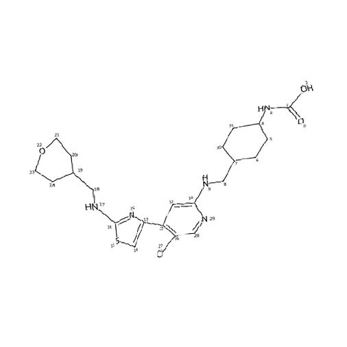 O=C(O)NC1CCC(CNc2cc(-c3csc(NCC4CCOCC4)n3)c(Cl)cn2)CC1